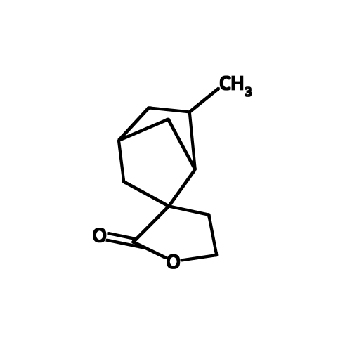 CC1CC2CC1C1(CCOC1=O)C2